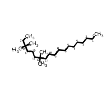 CCCCCCCCCCCCC(C)(C)C[CH]CC(C)(C)CC